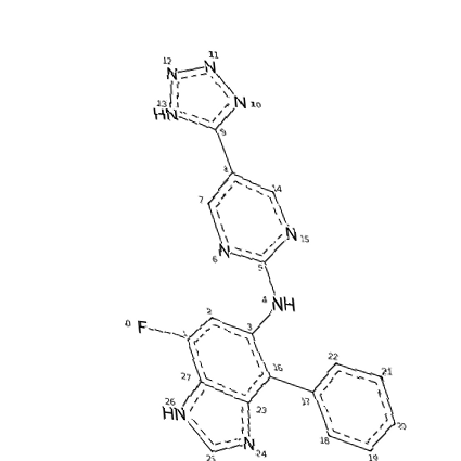 Fc1cc(Nc2ncc(-c3nnn[nH]3)cn2)c(-c2ccccc2)c2nc[nH]c12